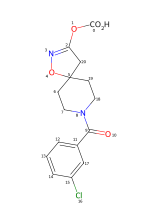 O=C(O)OC1=NOC2(CCN(C(=O)c3cccc(Cl)c3)CC2)C1